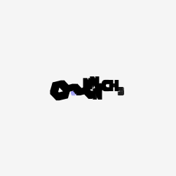 Cc1ncc(/C=C/c2ccccc2)nn1